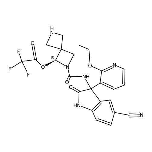 CCOc1ncccc1C1(NC(=O)N2CC3(CNC3)[C@@H]2OC(=O)C(F)(F)F)C(=O)Nc2ccc(C#N)cc21